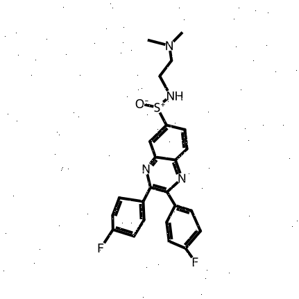 CN(C)CCN[S+]([O-])c1ccc2nc(-c3ccc(F)cc3)c(-c3ccc(F)cc3)nc2c1